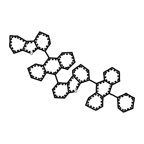 c1ccc(-c2c3ccccc3c(-c3cccc4c3oc3cccc(-c5c6ccccc6c(-c6cccc7c6oc6ccccc67)c6ccccc56)c34)c3ccccc23)cc1